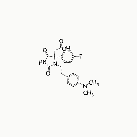 CN(C)c1ccc(CCN2C(=O)NC(=O)C2(CC(=O)O)c2ccc(F)cc2)cc1